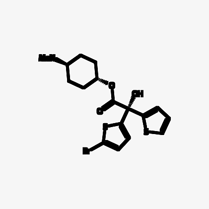 CN[C@H]1CC[C@H](OC(=O)[C@@](O)(c2cccs2)c2ccc(Br)s2)CC1